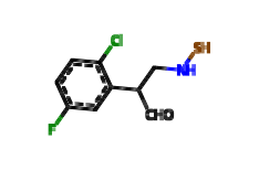 O=CC(CNS)c1cc(F)ccc1Cl